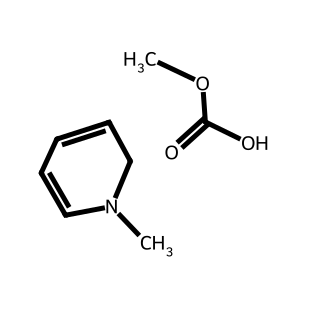 CN1C=CC=CC1.COC(=O)O